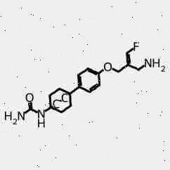 NCC(=CF)COc1ccc(C23CCC(NC(N)=O)(CC2)CC3)cc1